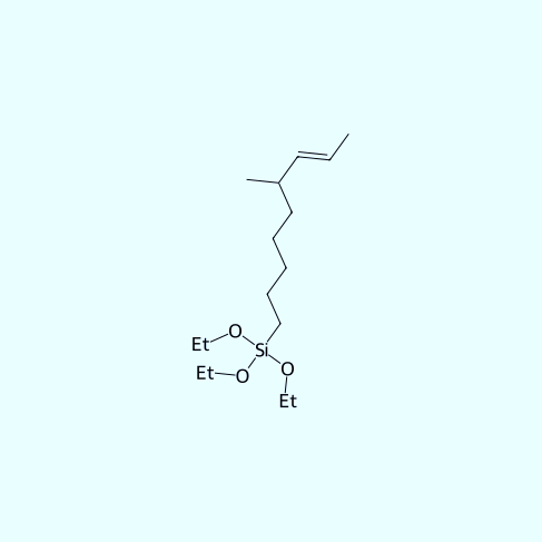 C/C=C/C(C)CCCCC[Si](OCC)(OCC)OCC